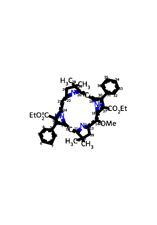 CCOC(=O)c1c(-c2ccccc2)c2cc3nc(c(OC)c4[nH]c(cc5nc(cc1[nH]2)CC5(C)C)c(-c1ccccc1)c4C(=O)OCC)CC3(C)C